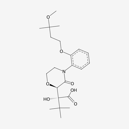 COC(C)(C)CCOc1ccccc1N1CCO[C@H]([C@@](O)(C(=O)O)C(C)(C)C)C1=O